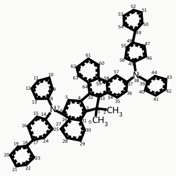 CC1(C)c2c(cc(N(c3ccccc3)c3ccc(-c4ccccc4)cc3)c3ccccc23)-c2c1c1ccc(N(c3ccccc3)c3ccc(-c4ccccc4)cc3)cc1c1ccccc21